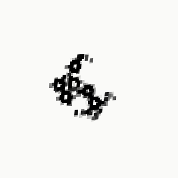 COc1ccc(N(Cc2ccnc(-c3ccc(F)cc3)c2)C2CCN(Cc3ccnc(-c4cc(OC)c(OC)c(OC)c4)c3)CC2)cc1